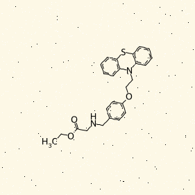 CCOC(=O)CNCc1ccc(OCCN2c3ccccc3Sc3ccccc32)cc1